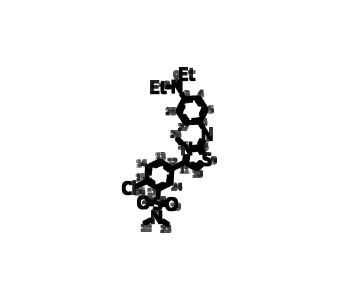 CCN(CC)c1ccc(/N=c2/scc(-c3ccc(Cl)c(S(=O)(=O)N(C)C)c3)n2C)cc1